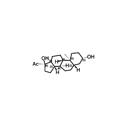 CC(=O)[C@@]1(O)CC[C@H]2[C@@H]3CC[C@H]4C[C@@H](O)CC[C@]4(C)[C@H]3CC[C@@]21C